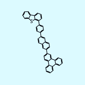 c1ccc2c(c1)sc1c(-c3ccc(-c4ccc5cc(-c6ccc7c8ccccc8c8ccccc8c7c6)ccc5c4)cc3)cccc12